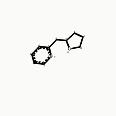 b1ccccc1CC1CCCO1